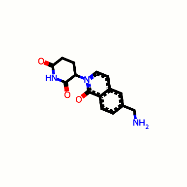 NCc1ccc2c(=O)n(C3CCC(=O)NC3=O)ccc2c1